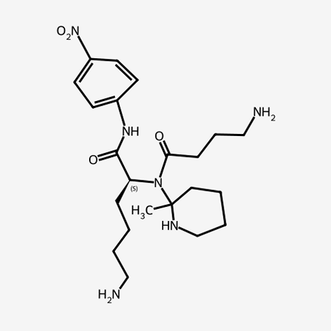 CC1(N(C(=O)CCCN)[C@@H](CCCCN)C(=O)Nc2ccc([N+](=O)[O-])cc2)CCCCN1